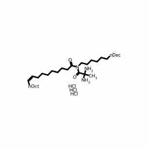 CCCCCCCC/C=C\CCCCCCCC(=O)N(CCCCCCCCCCCCCCCC)C(=O)C(C)(N)N.Cl.Cl.Cl